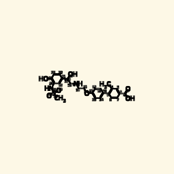 Cc1cc(C(=O)O)ccc1-c1ccc(OCCNC[C@H](O)c2ccc(O)c(NS(C)(=O)=O)c2)cc1